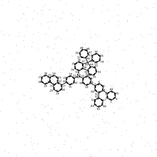 c1ccc(-c2ccc(-c3ccc(N(c4ccc(-c5cccc6c5ccc5ccccc56)cc4)c4cccc5c4-c4ccccc4C5(c4ccccc4)c4ccccc4)cc3)cc2-c2ccccc2)cc1